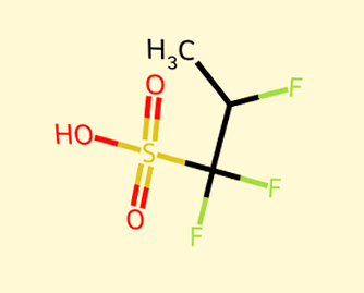 CC(F)C(F)(F)S(=O)(=O)O